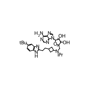 CC(C)N(C[C@H]1OC(n2cnc3c(N)ncnc32)[C@H](O)[C@@H]1O)C1CC(CCc2nc3cc(C(C)(C)C)ccc3[nH]2)C1